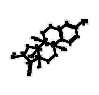 C[C@]12CC[C@@H]3c4ccc(O)cc4CC[C@H]3[C@@H]1CC(Br)C2=O